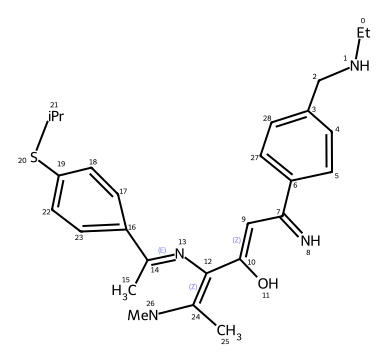 CCNCc1ccc(C(=N)/C=C(O)/C(/N=C(\C)c2ccc(SC(C)C)cc2)=C(\C)NC)cc1